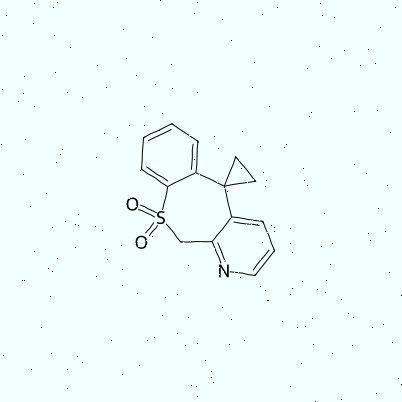 O=S1(=O)Cc2ncccc2C2(CC2)c2ccccc21